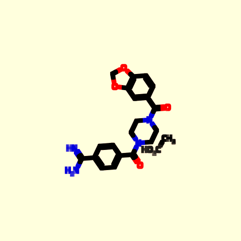 CC(=O)O.N=C(N)c1ccc(C(=O)N2CCN(C(=O)c3ccc4c(c3)OCO4)CC2)cc1